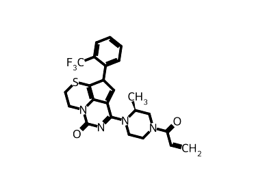 C=CC(=O)N1CCN(c2nc(=O)n3c4c2=CC(c2ccccc2C(F)(F)F)C=4SCC3)[C@@H](C)C1